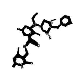 CCN(c1cc(F)cc(C(=O)NCc2c(C)cc(C)[nH]c2=O)c1C)[C@@H]1C[C@@H](C)N(Cc2ccccc2)[C@@H](C)C1